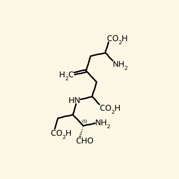 C=C(CC(N)C(=O)O)CC(NC(CC(=O)O)[C@H](N)C=O)C(=O)O